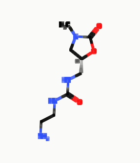 CN1C[C@@H](CNC(=O)NCCN)OC1=O